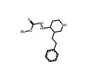 CC(C)(C)OC(=O)NNC1CCNCC1CCc1ccccc1